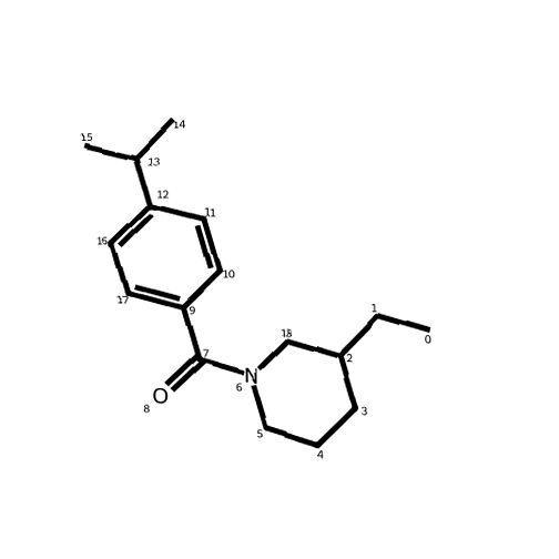 CCC1CCCN(C(=O)c2ccc(C(C)C)cc2)C1